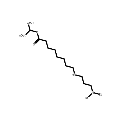 CCCCCCCCC(CCCCCCCC)OC(=O)CCCCCCCNCCCN(CC)CC